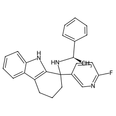 C[C@@H](NC1(c2ccc(F)nc2)CCCc2c1[nH]c1ccccc21)c1ccccc1